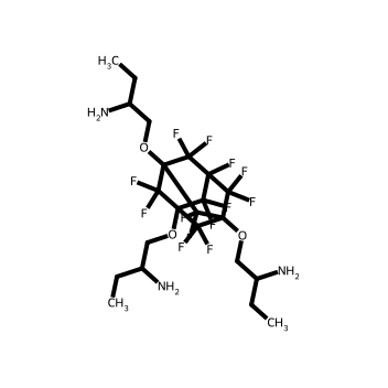 CCC(N)COC12C(F)(F)C3(F)C(F)(F)C(OCC(N)CC)(C1(F)F)C(F)(F)C(OCC(N)CC)(C3(F)F)C2(F)F